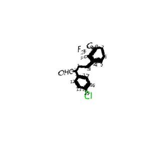 O=CC(CCc1cccc(C(F)(F)F)c1)c1ccc(Cl)cc1